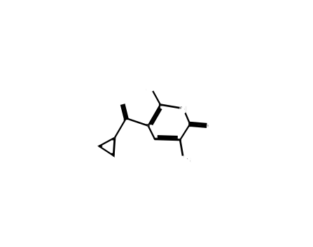 Cc1[nH]c(=O)c(C#N)cc1C(=O)C1CC1